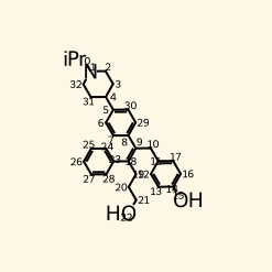 CC(C)N1CCC(c2ccc(/C(Cc3ccc(O)cc3)=C(/CCCO)c3ccccc3)cc2)CC1